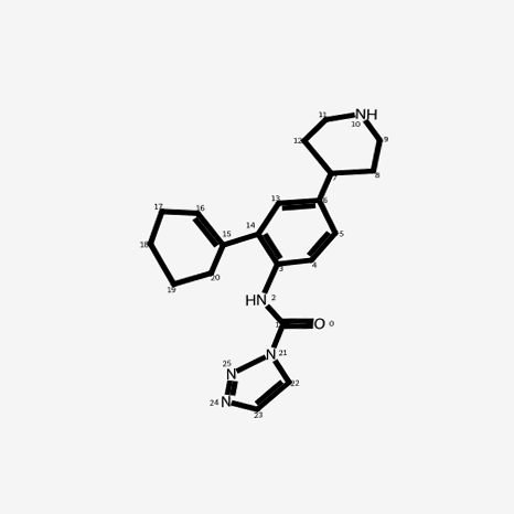 O=C(Nc1ccc(C2CCNCC2)cc1C1=CCCCC1)n1ccnn1